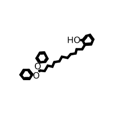 Oc1ccccc1CCCCCCCCCCCC(Oc1ccccc1)Oc1ccccc1